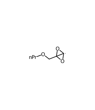 CCCOCC12O[C]1O2